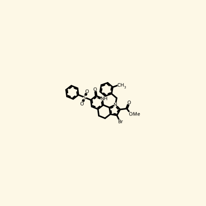 COC(=O)c1c(Br)c2c(n1Cc1ccccc1C)-c1[nH]c(=O)c(S(=O)(=O)c3ccccc3)cc1CC2